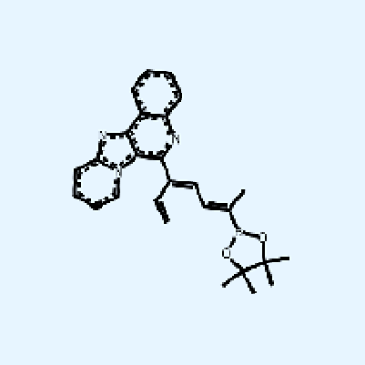 C=C/C(=C\C=C(/C)B1OC(C)(C)C(C)(C)O1)c1nc2ccccc2c2nc3ccccn3c12